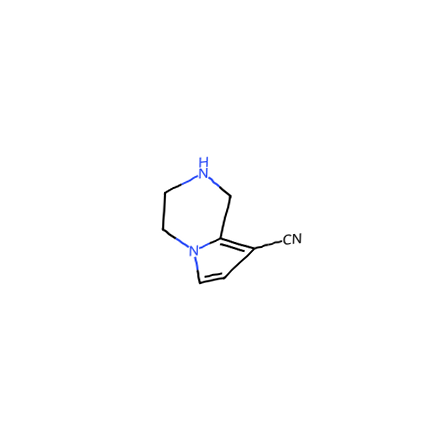 N#Cc1ccn2c1CNCC2